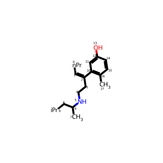 CCC/C=C(/CCNC(C)CC(C)C)c1cc(O)ccc1C